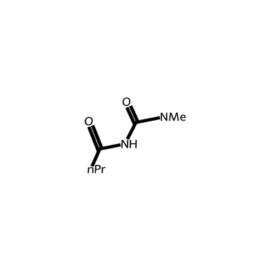 CCCC(=O)NC(=O)NC